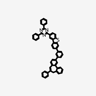 C1=C(c2ccccc2)Cc2ccccc2-c2cc(-c3cccc(-c4ccc5c(c4)sc4ccc(-c6nc(-c7ccccc7)nc(-c7ccccc7)n6)cc45)c3)ccc21